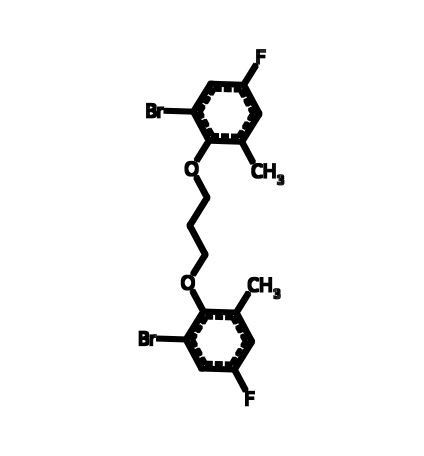 Cc1cc(F)cc(Br)c1OCCCOc1c(C)cc(F)cc1Br